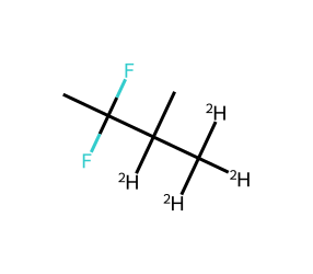 [2H]C([2H])([2H])C([2H])(C)C(C)(F)F